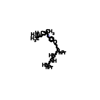 C=CC(C)(/C=C/c1ccc(OCCCCN(CCC)CCNCCNCCNCCC)cc1)CCC=C(C)C